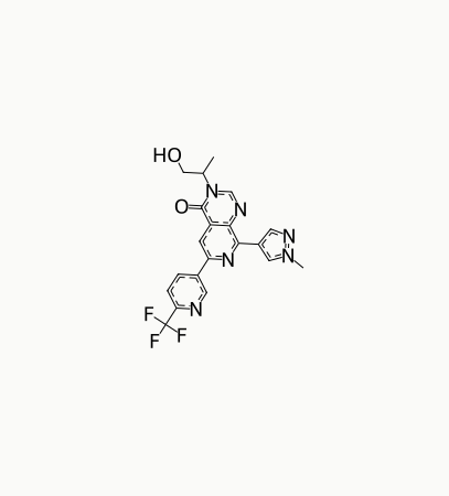 CC(CO)n1cnc2c(-c3cnn(C)c3)nc(-c3ccc(C(F)(F)F)nc3)cc2c1=O